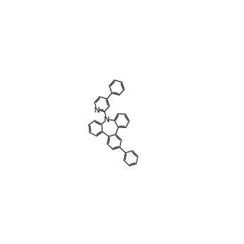 c1ccc(-c2ccnc(N3c4ccccc4-c4ccc(-c5ccccc5)cc4-c4ccccc43)c2)cc1